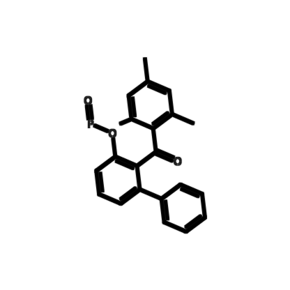 Cc1cc(C)c(C(=O)c2c(OP=O)cccc2-c2ccccc2)c(C)c1